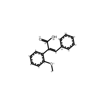 COc1ccccc1C(=Cc1ccccc1)C(=O)O